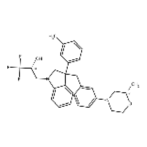 Cc1cccc(C2(Cc3cccc(N4CCO[C@@H](C)C4)c3)CN(C[C@@H](O)C(F)(F)F)c3ccccc32)c1